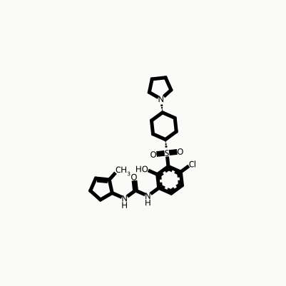 CC1=CCCC1NC(=O)Nc1ccc(Cl)c(S(=O)(=O)[C@H]2CC[C@@H](N3CCCC3)CC2)c1O